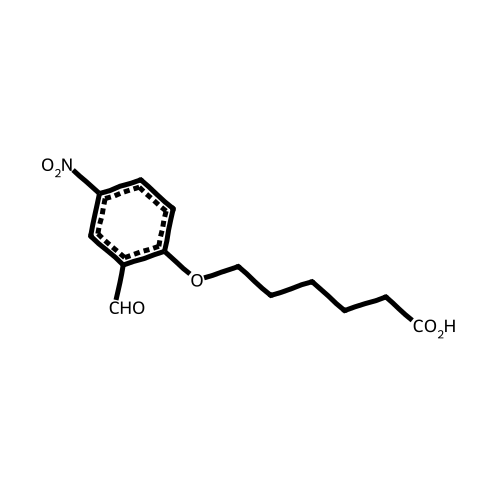 O=Cc1cc([N+](=O)[O-])ccc1OCCCCCC(=O)O